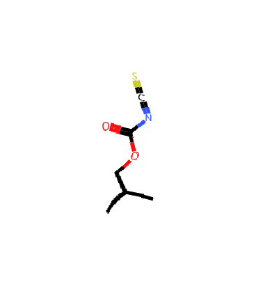 CC(C)COC(=O)N=C=S